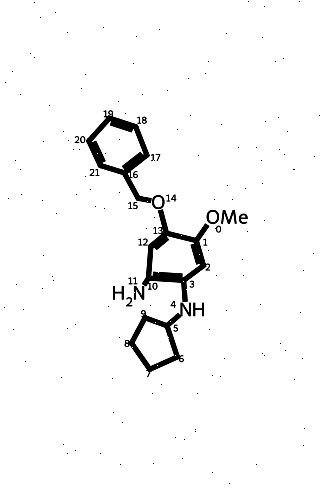 COc1cc(NC2CCCC2)c(N)cc1OCc1ccccc1